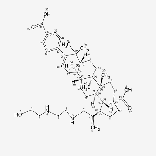 C=C(CNCCNCCO)[C@@H]1CC[C@]2(C(=O)O)CC[C@]3(C)[C@H](CC[C@@H]4[C@@]5(C)CC=C(c6ccc(C(=O)O)cc6)C(C)(C)[C@@H]5CC[C@]43C)[C@@H]12